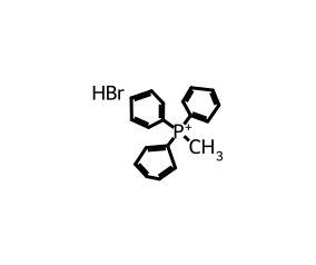 Br.C[P+](c1ccccc1)(c1ccccc1)c1ccccc1